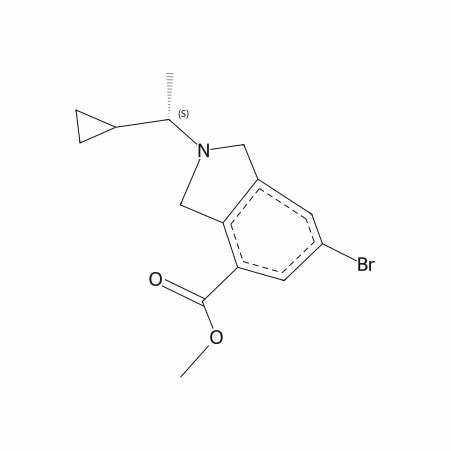 COC(=O)c1cc(Br)cc2c1CN([C@@H](C)C1CC1)C2